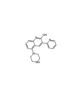 Oc1nc2cccc(N3CCNCC3)c2cc1-c1ccccn1